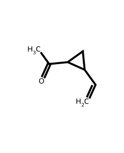 C=CC1CC1C(C)=O